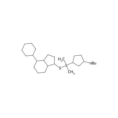 CCCCC1CCC(S(C)(C)SC2CCC3C(C4CCCCC4)CCCC23)C1